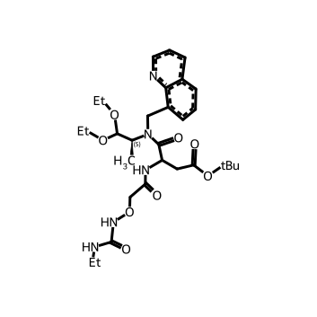 CCNC(=O)NOCC(=O)NC(CC(=O)OC(C)(C)C)C(=O)N(Cc1cccc2cccnc12)[C@@H](C)C(OCC)OCC